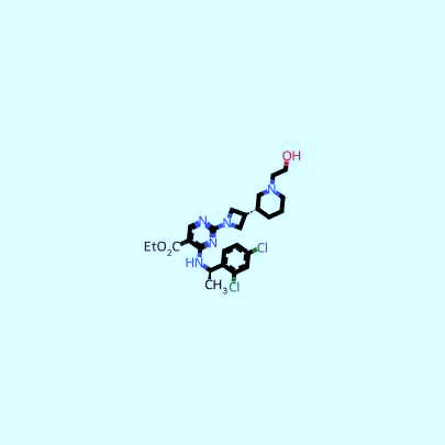 CCOC(=O)c1cnc(N2CC([C@H]3CCCN(CCO)C3)C2)nc1N[C@H](C)c1ccc(Cl)cc1Cl